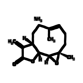 C=C1C(=O)O[C@H]2[C@H]1CC/C(C)=C/CC[C@@]1(C)O[C@@H]21.N